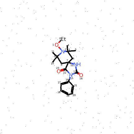 CCON1C(C)(C)CC2(CC1(C)C)NC(=O)N(c1ccccc1)C2=O